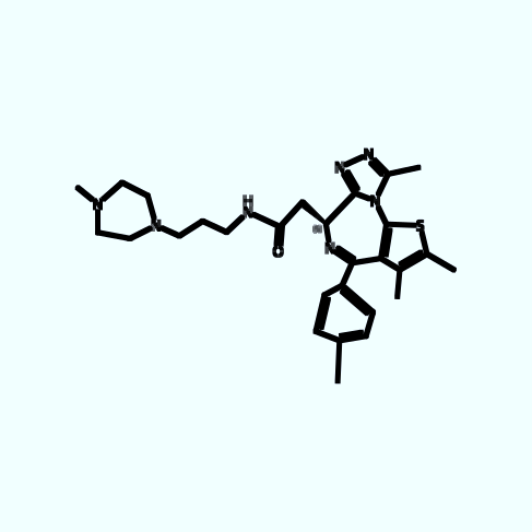 Cc1ccc(C2=N[C@@H](CC(=O)NCCCN3CCN(C)CC3)c3nnc(C)n3-c3sc(C)c(C)c32)cc1